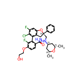 C[C@@H]1C[C@@H](NC[C@@]2(c3ccccc3)Cc3c(cc(F)c(Cl)c3-c3c(C(N)=O)ccc(OCCO)c3F)O2)C[C@H](C)O1